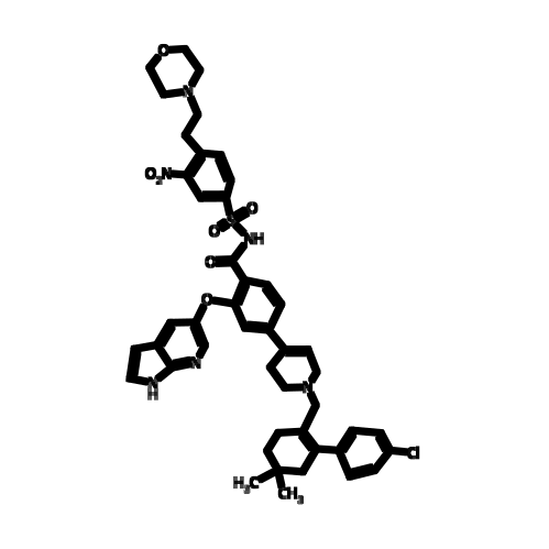 CC1(C)CCC(CN2CC=C(c3ccc(C(=O)NS(=O)(=O)c4ccc(CCN5CCOCC5)c([N+](=O)[O-])c4)c(Oc4cnc5[nH]ccc5c4)c3)CC2)=C(c2ccc(Cl)cc2)C1